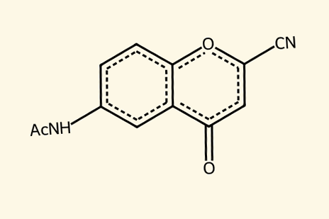 CC(=O)Nc1ccc2oc(C#N)cc(=O)c2c1